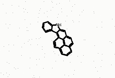 c1cc2ccc3cc4[nH]c5ccccc5c4c4ccc(c1)c2c34